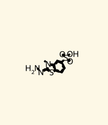 Cn1c(=NN)sc2ccc(S(=O)(=O)O)cc21